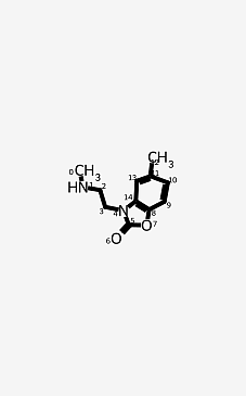 CNCCn1c(=O)oc2ccc(C)cc21